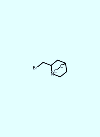 BrCC1CC2CCN1CC2